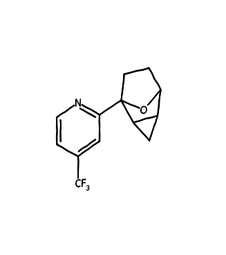 FC(F)(F)c1ccnc(C23CCC(O2)C2CC23)c1